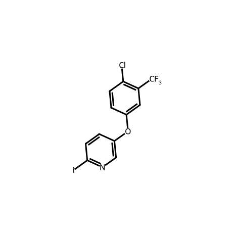 FC(F)(F)c1cc(Oc2ccc(I)nc2)ccc1Cl